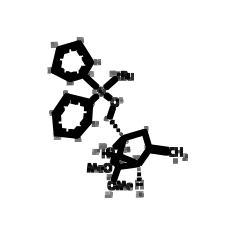 C=C1C[C@]2(CO[Si](c3ccccc3)(c3ccccc3)C(C)(C)C)OC(OC)[C@H]1[C@@H]2OC